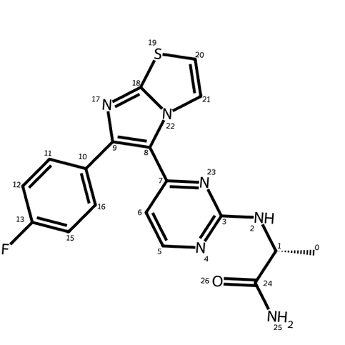 C[C@@H](Nc1nccc(-c2c(-c3ccc(F)cc3)nc3sccn23)n1)C(N)=O